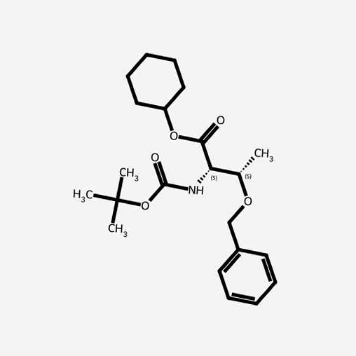 C[C@H](OCc1ccccc1)[C@H](NC(=O)OC(C)(C)C)C(=O)OC1CCCCC1